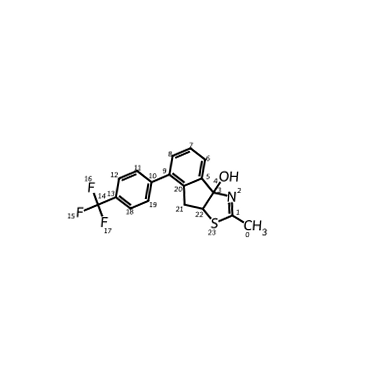 CC1=NC2(O)c3cccc(-c4ccc(C(F)(F)F)cc4)c3CC2S1